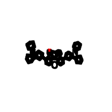 c1ccc(-n2c3ccccc3c3cc(-c4ccc5c(c4)C4(c6cc(-c7ccc8c(c7)c7ccccc7n8-c7ccccc7)ccc6O5)c5ccccc5-c5ccccc54)ccc32)cc1